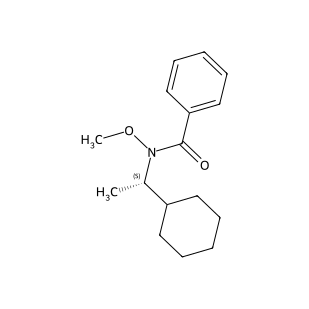 CON(C(=O)c1ccccc1)[C@@H](C)C1CCCCC1